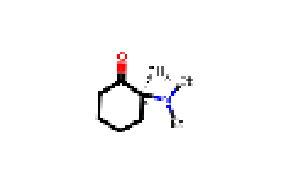 CCN(CC)[C@@]1(C)CCCCC1=O